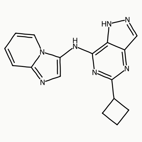 c1ccn2c(Nc3nc(C4CCC4)nc4cn[nH]c34)cnc2c1